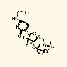 CC(C)(C)[Si](C)(C)OC[C@H]1O[C@@H](n2ccc(NC(=O)O)nc2=O)C(F)(F)[C@@H]1O[Si](C)(C)C(C)(C)C